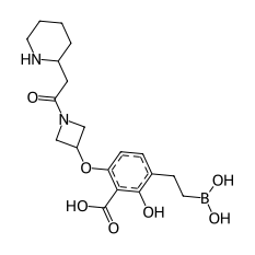 O=C(O)c1c(OC2CN(C(=O)CC3CCCCN3)C2)ccc(CCB(O)O)c1O